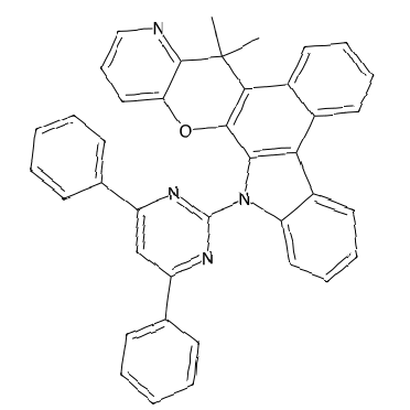 CC1(C)c2ncccc2Oc2c1c1ccccc1c1c3ccccc3n(-c3nc(-c4ccccc4)cc(-c4ccccc4)n3)c21